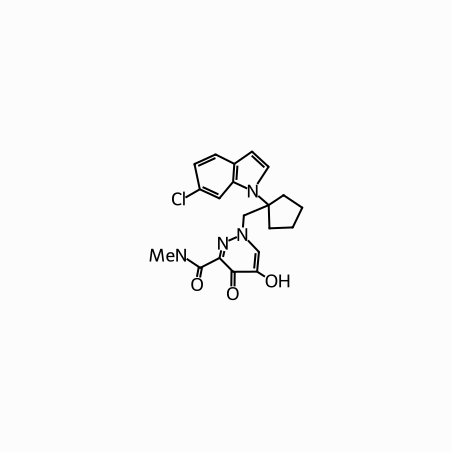 CNC(=O)c1nn(CC2(n3ccc4ccc(Cl)cc43)CCCC2)cc(O)c1=O